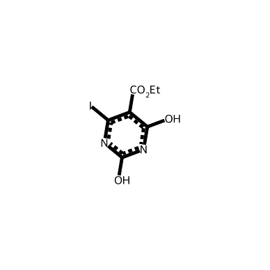 CCOC(=O)c1c(O)nc(O)nc1I